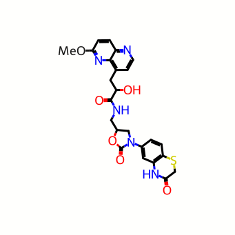 COc1ccc2nccc(CC(O)C(=O)NCC3CN(c4ccc5c(c4)NC(=O)CS5)C(=O)O3)c2n1